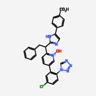 O=C(O)c1ccc(-c2cnc(C(Cc3ccccc3)c3ccc(-c4cc(Cl)ccc4-n4cnnn4)c[n+]3O)[nH]2)cc1